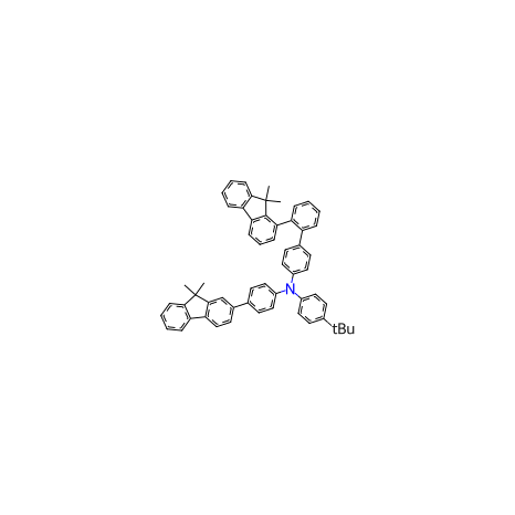 CC(C)(C)c1ccc(N(c2ccc(-c3ccc4c(c3)C(C)(C)c3ccccc3-4)cc2)c2ccc(-c3ccccc3-c3cccc4c3C(C)(C)c3ccccc3-4)cc2)cc1